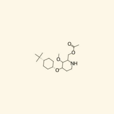 COC1C(COC(C)=O)NCCC1O[C@H]1CC[C@@H](C(C)(C)C)CC1